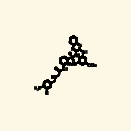 COc1cc(Nc2nc3ccccc3nc2NS(=O)(=O)c2cccc(NC(=O)CNCc3ccc(C)c(Cl)c3)c2)cc(OC)c1